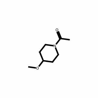 COC1[CH]CN(C(C)=O)CC1